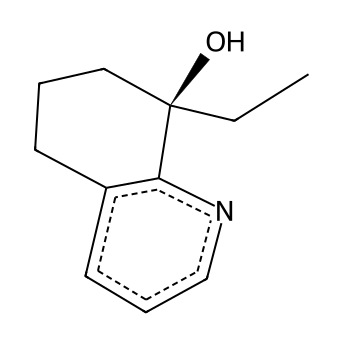 CC[C@@]1(O)CCCc2cccnc21